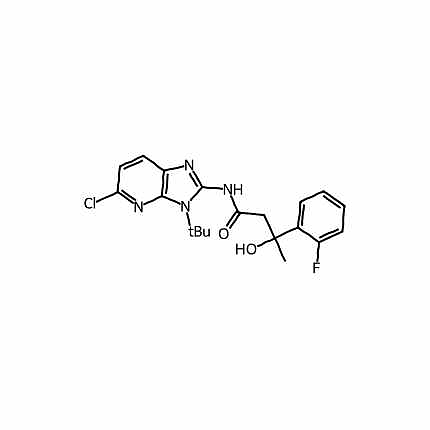 CC(O)(CC(=O)Nc1nc2ccc(Cl)nc2n1C(C)(C)C)c1ccccc1F